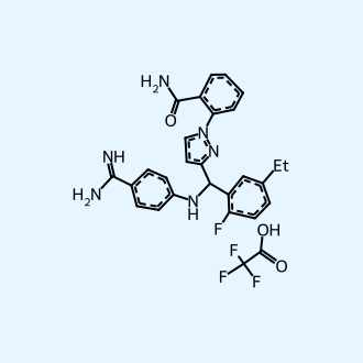 CCc1ccc(F)c(C(Nc2ccc(C(=N)N)cc2)c2ccn(-c3ccccc3C(N)=O)n2)c1.O=C(O)C(F)(F)F